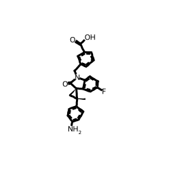 C[C@@]1(c2ccc(N)cc2)C[C@]12C(=O)N(Cc1cccc(C(=O)O)c1)c1ccc(F)cc12